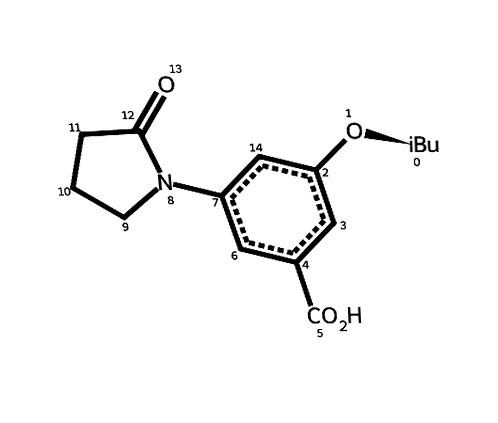 CC[C@H](C)Oc1cc(C(=O)O)cc(N2CCCC2=O)c1